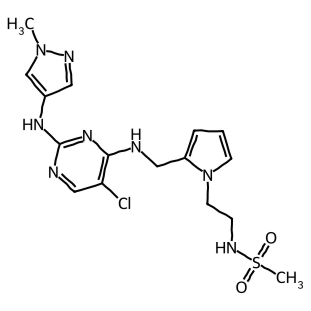 Cn1cc(Nc2ncc(Cl)c(NCc3cccn3CCNS(C)(=O)=O)n2)cn1